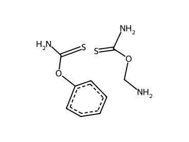 NC(=S)Oc1ccccc1.NCOC(N)=S